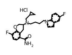 Cl.NC(=O)c1ccc(F)c2c1CC(N(CCCCn1ccc3cc(F)ccc31)CC1CC1)CO2